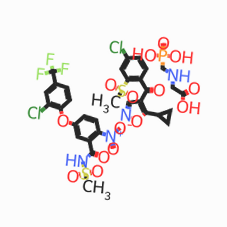 CS(=O)(=O)NC(=O)c1cc(Oc2ccc(C(F)(F)F)cc2Cl)ccc1[N+](=O)[O-].CS(=O)(=O)c1cc(Cl)ccc1C(=O)c1cnoc1C1CC1.O=C(O)CNCP(=O)(O)O